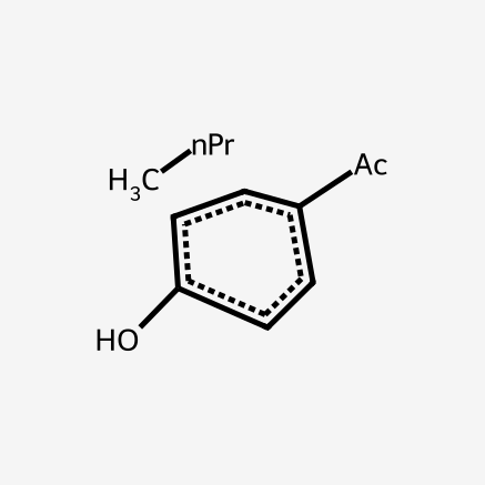 CC(=O)c1ccc(O)cc1.CCCC